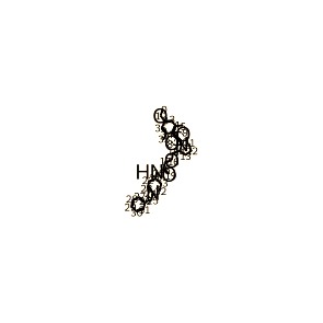 COc1cc(C)c(S(=O)(=O)N2CCCC2COCC(=O)NC2CCN(Cc3ccccc3)CC2)c(C)c1